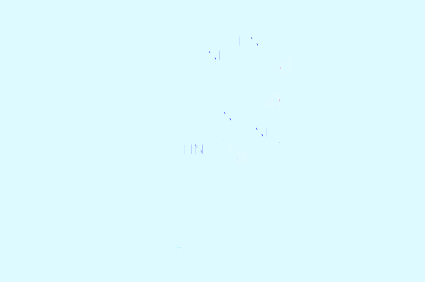 N=C/C(=C1\NCCO1)S(N)(=O)=NC(=O)Nc1c2c(c(F)c3c1CCC3)CCC2